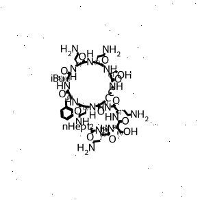 CCCCCCCC(=O)N[C@@H](CCN)C(=O)N[C@H](C(=O)N[C@@H](CCN)C(=O)N[C@H]1CCNC(=O)[C@H](CO)NC(=O)[C@H](CCN)NC(=O)[C@H](CCN)NC(=O)[C@H]([C@@H](C)CC)NC(=O)[C@@H](Cc2ccccc2)NC(=O)[C@H](CCN)NC1=O)[C@@H](C)O